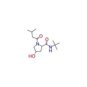 CC(C)CC(=O)N1CC(O)CC1C(=O)NC(C)(C)C